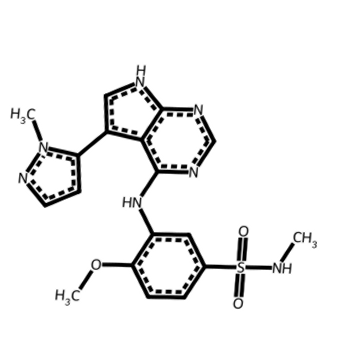 CNS(=O)(=O)c1ccc(OC)c(Nc2ncnc3[nH]cc(-c4ccnn4C)c23)c1